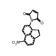 O=C1C=CC(=O)N1c1ccc2c([N+](=O)[O-])ccc3c2c1CC3